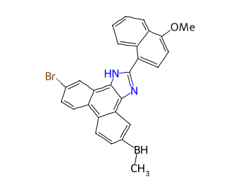 CBc1ccc2c3ccc(Br)cc3c3[nH]c(-c4ccc(OC)c5ccccc45)nc3c2c1